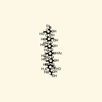 CCO[C@@H]1OC(CO)[C@@H](O[C@@H]2OC(CO)[C@H](O[C@H]3OC(CO)[C@H](O)[C@H](O[C@@H]4OC(CO)[C@H](O)[C@H](O[C@@H]5OC(CO)[C@H](O)[C@H](O[C@]6(OC=O)C[C@@H](O)[C@@H](C)C([C@H](O)[C@H](O)CO)O6)C5O)C4NC(C)=O)C3O)[C@H](O)C2O)[C@H](O)C1O